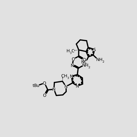 C[C@H]1CN(C(=O)OC(C)(C)C)CCCN1c1nccc(/C(N)=N/OC(=O)[C@@]2(C)CCCc3sc(N)c(C#N)c32)n1